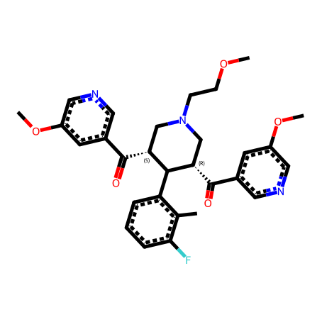 COCCN1C[C@H](C(=O)c2cncc(OC)c2)C(c2cccc(F)c2C)[C@H](C(=O)c2cncc(OC)c2)C1